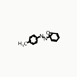 Cc1ccc(N=NC23C=CC=CC2O3)cc1